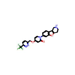 O=c1cc(OCc2ccc(C(F)(F)F)nn2)ccn1-c1ccc2c3c(oc2c1)CCNC3